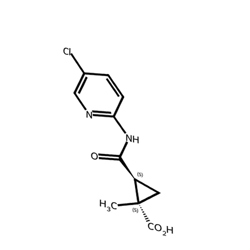 C[C@]1(C(=O)O)C[C@@H]1C(=O)Nc1ccc(Cl)cn1